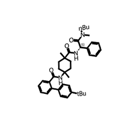 CCCCN(C)C(=O)[C@@H](NC(=O)C1(C)CCC(C)(NC(=O)c2ccccc2-c2ccc(C(C)(C)C)cc2)CC1)c1ccccc1